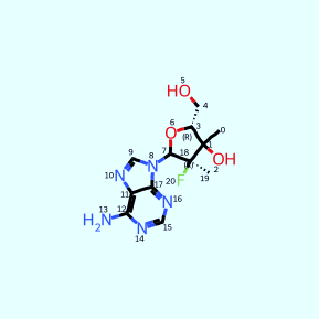 CC1(O)[C@@H](CO)OC(n2cnc3c(N)ncnc32)[C@]1(C)F